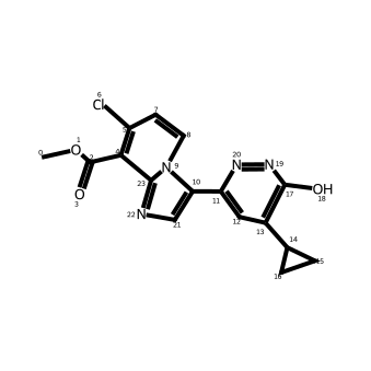 COC(=O)c1c(Cl)ccn2c(-c3cc(C4CC4)c(O)nn3)cnc12